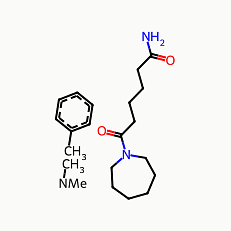 CNC.Cc1ccccc1.NC(=O)CCCCC(=O)N1CCCCCC1